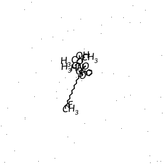 CCC(F)CCCCCCCCCCCS(=O)(=O)[C@H](C(=O)Nc1cc(C)c(O)c(C)c1C)c1ccccc1